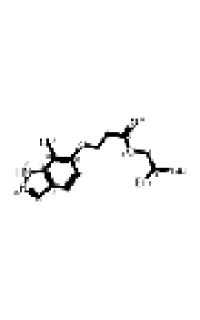 CCCCC(CC)COC(=O)CCSc1ccc2cn[nH]c2c1Cl